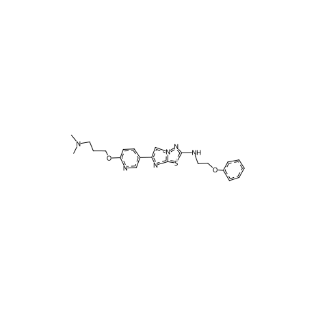 CN(C)CCCOc1ccc(-c2cn3nc(NCCOc4ccccc4)sc3n2)cn1